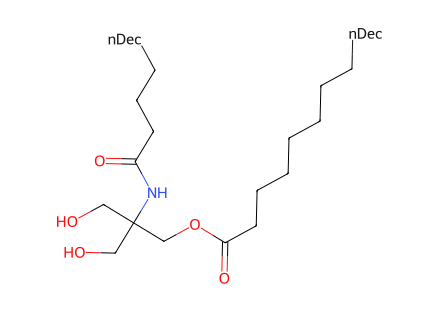 CCCCCCCCCCCCCCCCCC(=O)OCC(CO)(CO)NC(=O)CCCCCCCCCCCCC